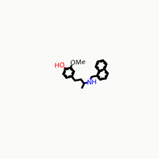 COc1cc(CCC(C)NCc2cccc3ccccc23)ccc1O